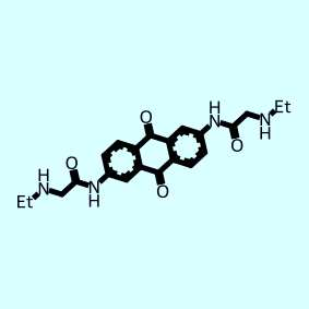 CCNCC(=O)Nc1ccc2c(c1)C(=O)c1ccc(NC(=O)CNCC)cc1C2=O